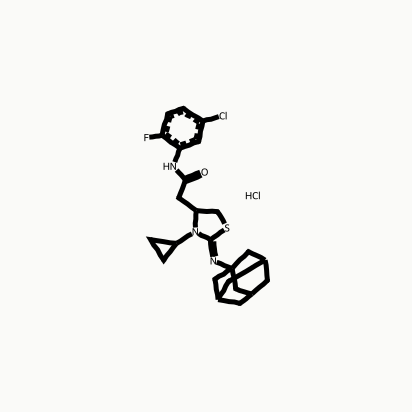 Cl.O=C(CC1CS/C(=N\C23CC4CC(CC(C4)C2)C3)N1C1CC1)Nc1cc(Cl)ccc1F